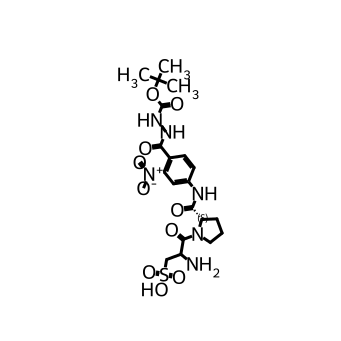 CC(C)(C)OC(=O)NNC(=O)c1ccc(NC(=O)[C@@H]2CCCN2C(=O)C(N)CS(=O)(=O)O)cc1[N+](=O)[O-]